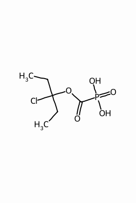 CCC(Cl)(CC)OC(=O)P(=O)(O)O